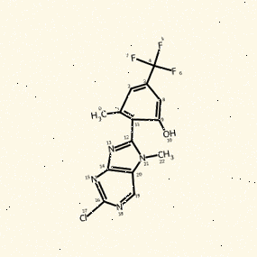 Cc1cc(C(F)(F)F)cc(O)c1-c1nc2nc(Cl)ncc2n1C